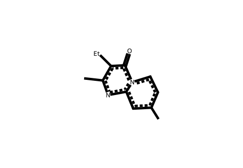 CCc1c(C)nc2cc(C)ccn2c1=O